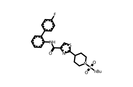 CCCCS(=O)(=O)N1CCC(c2nc(C(=O)Nc3ccccc3-c3ccc(F)cc3)cs2)CC1